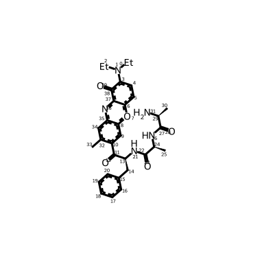 CCN(CC)c1ccc2oc3cc(C(=O)[C@H](Cc4ccccc4)NC(=O)[C@H](C)NC(=O)[C@H](C)N)c(C)cc3nc-2c1=O